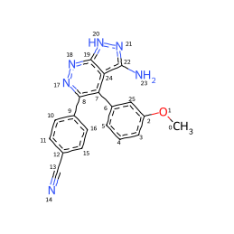 COc1cccc(-c2c(-c3ccc(C#N)cc3)nnc3[nH]nc(N)c23)c1